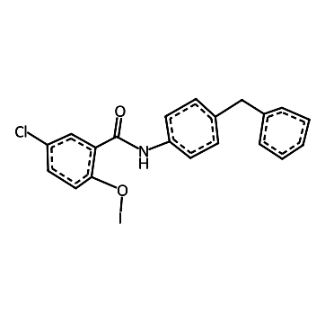 O=C(Nc1ccc(Cc2ccccc2)cc1)c1cc(Cl)ccc1OI